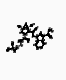 NC(=O)c1nn(CC(=O)N2[C@@H]3C[C@@H]3C[C@H]2C(=O)NC[C@@H]2CC2(Cl)Cl)c2ccccc12